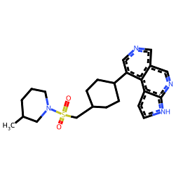 CC1CCCN(S(=O)(=O)CC2CCC(c3cncc4cnc5[nH]ccc5c34)CC2)C1